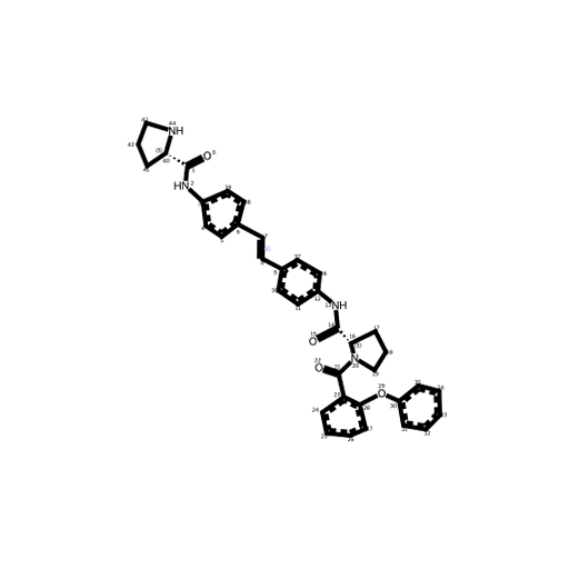 O=C(Nc1ccc(/C=C/c2ccc(NC(=O)[C@@H]3CCCN3C(=O)c3ccccc3Oc3ccccc3)cc2)cc1)[C@@H]1CCCN1